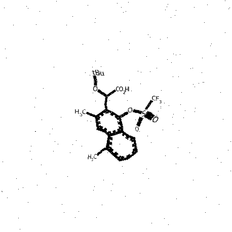 Cc1cc2c(C)cccc2c(OS(=O)(=O)C(F)(F)F)c1C(OC(C)(C)C)C(=O)O